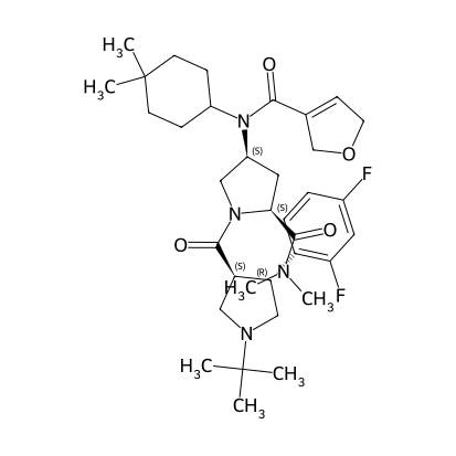 CN(C)C(=O)[C@@H]1C[C@H](N(C(=O)C2=CCOC2)C2CCC(C)(C)CC2)CN1C(=O)[C@@H]1CN(C(C)(C)C)C[C@H]1c1ccc(F)cc1F